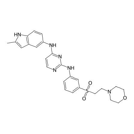 Cc1cc2cc(Nc3ccnc(Nc4cccc(S(=O)(=O)CCN5CCOCC5)c4)n3)ccc2[nH]1